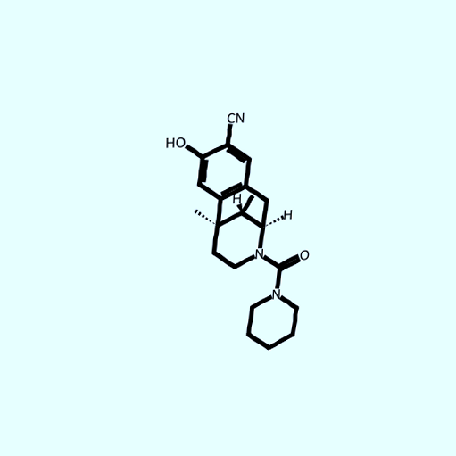 C[C@@H]1[C@H]2Cc3cc(C#N)c(O)cc3[C@]1(C)CCN2C(=O)N1CCCCC1